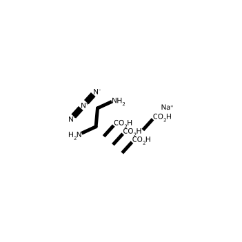 CC(=O)O.CC(=O)O.CC(=O)O.CC(=O)O.NCCN.[N-]=[N+]=[N-].[Na+]